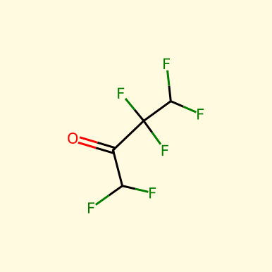 O=C(C(F)F)C(F)(F)C(F)F